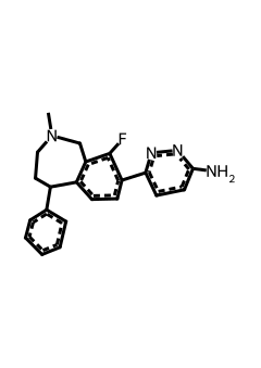 CN1CCC(c2ccccc2)c2ccc(-c3ccc(N)nn3)c(F)c2C1